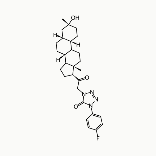 C[C@@]1(O)CC[C@@H]2C3CC[C@@]4(C)C(CC[C@@H]4C(=O)Cn4nnn(-c5ccc(F)cc5)c4=O)[C@@H]3CC[C@@H]2C1